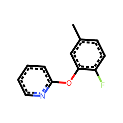 Cc1ccc(F)c(Oc2ccccn2)c1